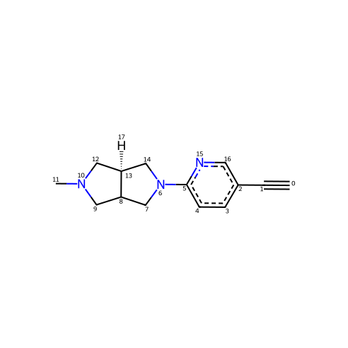 C#Cc1ccc(N2CC3CN(C)C[C@H]3C2)nc1